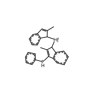 CC1=Cc2ccccc2[CH]1[Hf][CH]1C(C)=C(Pc2ccccc2)c2ccccc21